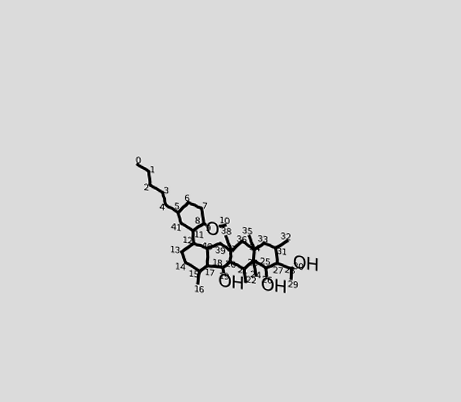 CCCCCC1CCC(OC)C(C2CCC(C)C3C(O)C4C(C)C5(C)C(O)C(C(C)O)C(C)CC5(C)CC4(C)CC23)C1